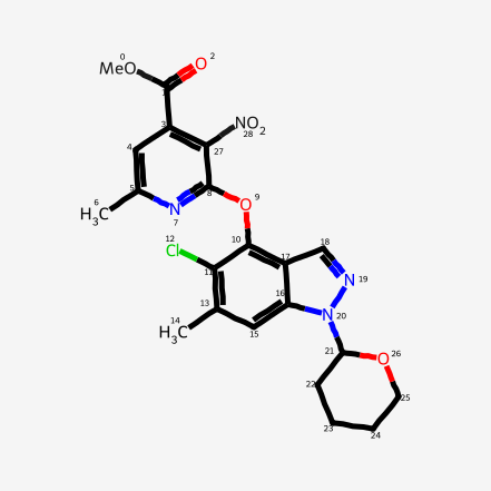 COC(=O)c1cc(C)nc(Oc2c(Cl)c(C)cc3c2cnn3C2CCCCO2)c1[N+](=O)[O-]